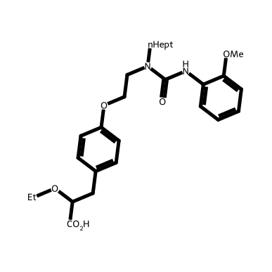 CCCCCCCN(CCOc1ccc(CC(OCC)C(=O)O)cc1)C(=O)Nc1ccccc1OC